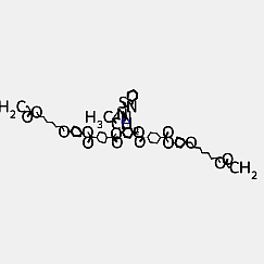 C=CC(=O)OCCCCCCOc1ccc(OC(=O)C2CCC(C(=O)Oc3ccc(OC(=O)[C@H]4CC[C@H](C(=O)Oc5ccc(OCCCCCCOC(=O)C=C)cc5)CC4)cc3/C=N/N(CC(=C)C)c3nc4ccccc4s3)CC2)cc1